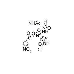 CC(=O)NC[C@@H]1NC(=O)[C@@H]1NC(=O)/C(=N\OC(C)(C)C(=O)OCc1ccc([N+](=O)[O-])cc1)c1csc(NC(=O)CCl)n1